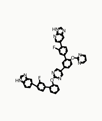 Fc1cc(-c2ccccc2Oc2ncc(-c3ccc(Oc4ncccn4)c(-c4ccc(-c5cnc6[nH]cnc6c5)c(F)c4)c3)cn2)ccc1-c1ccc2[nH]cnc2c1